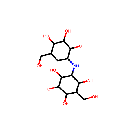 OCC1CC(NC2C(O)C(O)C(O)C(CO)C2O)C(O)C(O)C1O